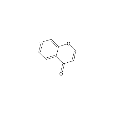 O=c1ccoc2c[c]ccc12